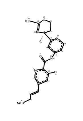 COC/C=C/c1cnc(C(=O)Nc2ccnc([C@]3(C)CCSC(N)=N3)c2)c(Cl)c1